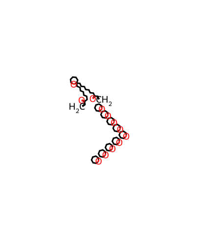 C1CCCOCC1.C1CCCOCC1.C1CCCOCC1.C1CCCOCC1.C1CCCOCC1.C1CCCOCC1.C1CCCOCC1.C1CCCOCC1.C1CCCOCC1.C=CC(=O)CCCCCCCC1(CCCCCCCC(=O)C=C)CCCCCO1